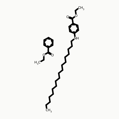 CCCCCCCCCCCCCCCCCCNc1ccc(C(=O)OCC)cc1.CCOC(=O)c1ccccc1